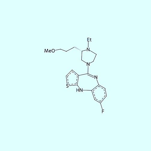 CCN1CCN(C2=Nc3ccc(F)cc3Nc3sccc32)C[C@@H]1CCCOC